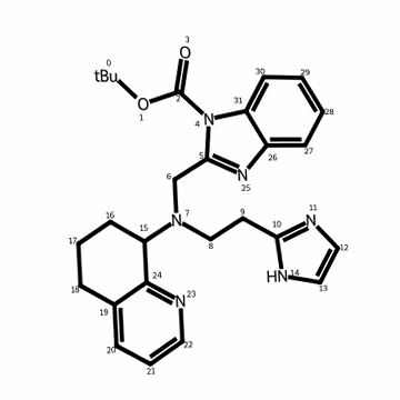 CC(C)(C)OC(=O)n1c(CN(CCc2ncc[nH]2)C2CCCc3cccnc32)nc2ccccc21